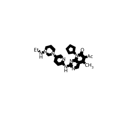 CCNN1CC=CN(c2ccc(Nc3ncc4c(C)c(C(C)=O)c(=O)n(C5CCCC5)c4n3)nc2)C1